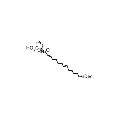 CCCCCCCCCCCC=CC=CC=CC=CC=CC=CC(=O)N[C@@H](CC(C)C)C(=O)O